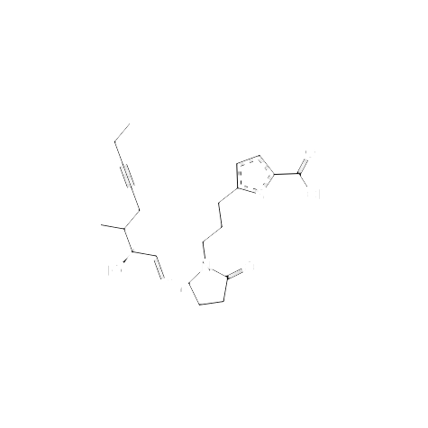 CCC#CCC(C)[C@H](O)C=C[C@H]1CCC(=O)N1CCCc1ccc(C(=O)O)s1